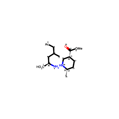 CC(=O)CC(C)C[C@@H](N)C(=O)O.COC(=O)[C@@H]1CC[C@H](C)NC1